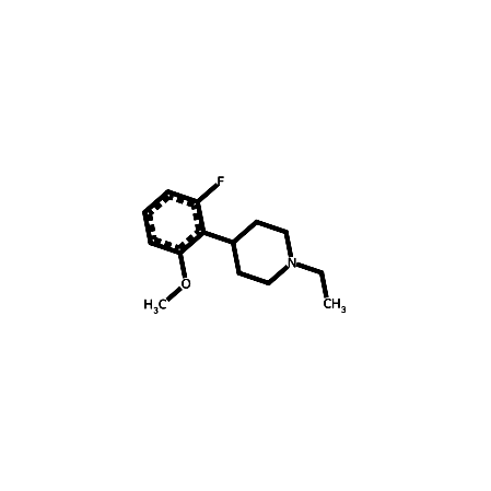 CCN1CCC(c2c(F)cccc2OC)CC1